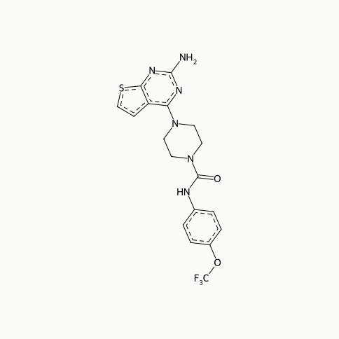 Nc1nc(N2CCN(C(=O)Nc3ccc(OC(F)(F)F)cc3)CC2)c2ccsc2n1